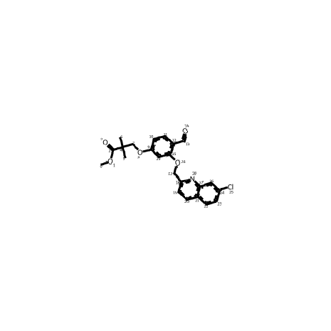 COC(=O)C(C)(C)COc1ccc(C=O)c(OCc2ccc3ccc(Cl)cc3n2)c1